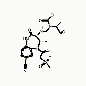 C[C@@H](C=O)N(CN[C@@H]1C(=O)Nc2ccc(C#N)cc2N(C(=O)CS(C)(=O)=O)[C@H]1C)C(=O)O